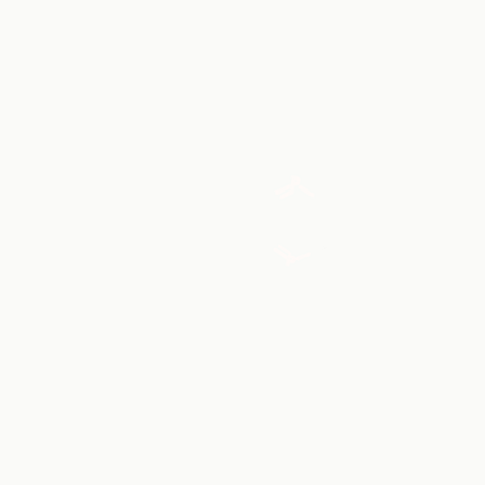 c1cpc(C2CCCCC2)cp1